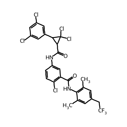 Cc1cc(CC(F)(F)F)cc(C)c1NC(=O)c1cc(NC(=O)C2C(c3cc(Cl)cc(Cl)c3)C2(Cl)Cl)ccc1Cl